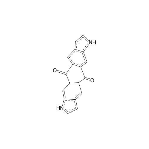 O=C1c2cc3cc[nH]c3cc2C(=O)C2C=c3cc[nH]c3=CC12